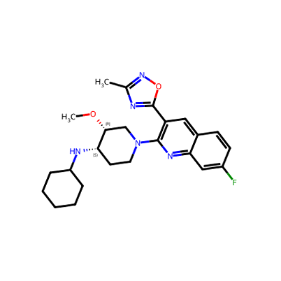 CO[C@@H]1CN(c2nc3cc(F)ccc3cc2-c2nc(C)no2)CC[C@@H]1NC1CCCCC1